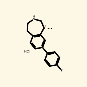 C[C@H]1CNCCc2ccc(-c3ccc(F)cc3)cc21.Cl